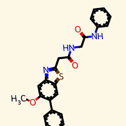 COc1cc2nc(CC(=O)NCC(=O)Nc3ccccc3)sc2cc1-c1ccccc1